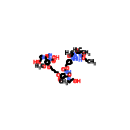 C=CCOC(=O)NC(C(=O)NC(C)C(=O)Nc1ccc(COC(=O)Nc2cc(OCCCCCOc3cc(NC(=O)O)c(C(=O)N4CCC4CO)cc3OC)c(OC)cc2C(=O)N2CCC2CO)cc1)C(C)C